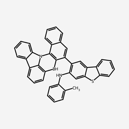 Cc1ccccc1Nc1cc2sc3ccccc3c2cc1-c1cc2ccccc2c2c1Bc1cccc3c4ccccc4n-2c13